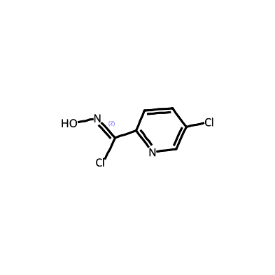 O/N=C(\Cl)c1ccc(Cl)cn1